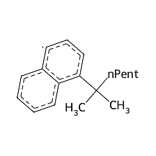 CCCCCC(C)(C)c1cc[c]c2ccccc12